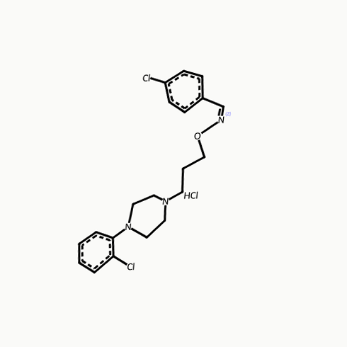 Cl.Clc1ccc(/C=N\OCCCN2CCN(c3ccccc3Cl)CC2)cc1